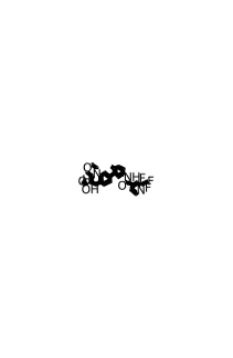 Cc1ccc(NC(=O)c2ccnc(C(F)(F)F)c2)cc1-c1ccc2c(c1)N1CCOC[C@@H]1[C@H](C(=O)O)C2